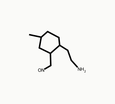 CC1CCC(CCN)C(CN=O)C1